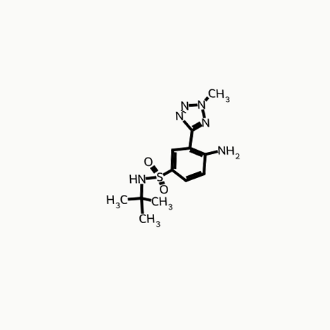 Cn1nnc(-c2cc(S(=O)(=O)NC(C)(C)C)ccc2N)n1